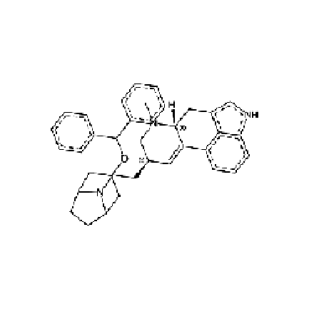 CN1C[C@H](CCN2C3CCC2CC(OC(c2ccccc2)c2ccccc2)C3)C=C2c3cccc4[nH]cc(c34)C[C@H]21